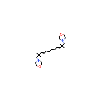 CC(C)(C=CCCCCC=CC(C)(C)CN1CCOCC1)CN1CCOCC1